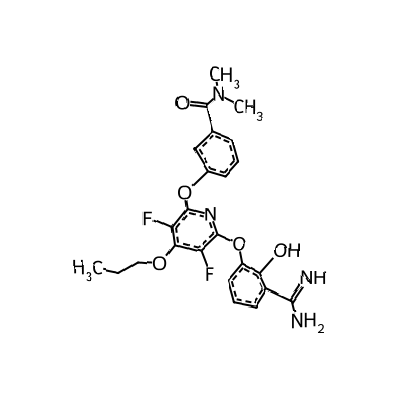 CCCOc1c(F)c(Oc2cccc(C(=O)N(C)C)c2)nc(Oc2cccc(C(=N)N)c2O)c1F